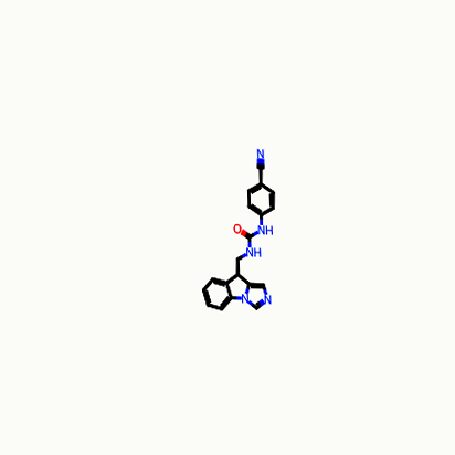 N#Cc1ccc(NC(=O)NCC2c3ccccc3-n3cncc32)cc1